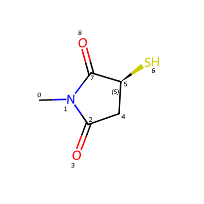 CN1C(=O)C[C@H](S)C1=O